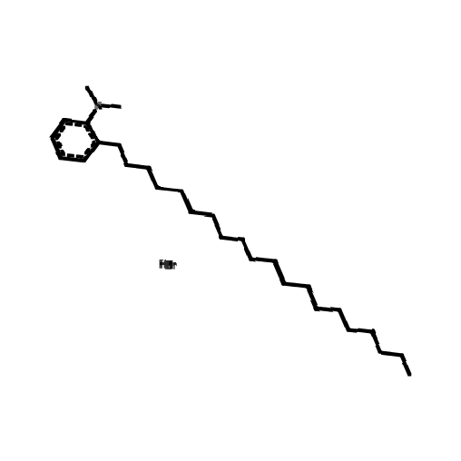 Br.CCCCCCCCCCCCCCCCCCCCc1ccccc1N(C)C